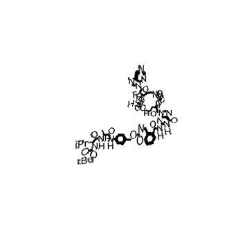 CC(C)[C@H](NC(=O)OC(C)(C)C)C(=O)N[C@@H](C)C(=O)Nc1ccc(COC(=O)N(C)Cc2ccccc2C(=O)Nc2nc3c(ncn3[C@@H]3O[C@@H]4COP(=O)(S)O[C@@H]5C(CNS(=O)(=O)O[C@@H]3C4)O[C@@H](n3cnc4cncnc43)[C@@H]5F)c(=O)[nH]2)cc1